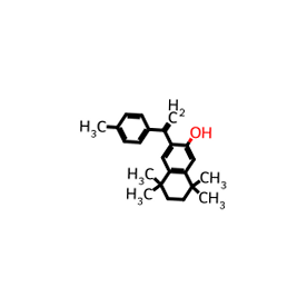 C=C(c1ccc(C)cc1)c1cc2c(cc1O)C(C)(C)CCC2(C)C